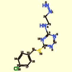 N=NCCNc1ncnc(SCc2ccc(Cl)cc2)n1